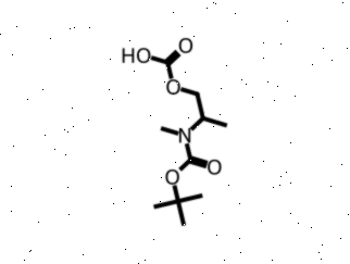 CC(COC(=O)O)N(C)C(=O)OC(C)(C)C